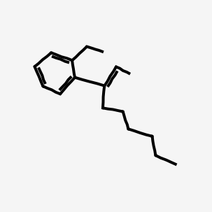 CC=C(CCCCCC)c1ccccc1CC